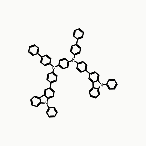 c1ccc(-c2ccc(N(c3ccc(-c4ccc5c(c4)c4ccccc4n5-c4ccccc4)cc3)c3ccc(N(c4ccc(-c5ccccc5)cc4)c4ccc(-c5ccc6c(c5)c5ccccc5n6-c5ccccc5)cc4)cc3)cc2)cc1